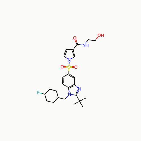 CC(C)(C)c1nc2cc(S(=O)(=O)n3ccc(C(=O)NCCO)c3)ccc2n1CC1CCC(F)CC1